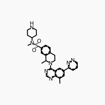 Cc1cc(-c2cccnn2)cc2c(N3CCc4ccc(S(=O)(=O)N(C)C5CCNCC5)cc4C3C)ncnc12